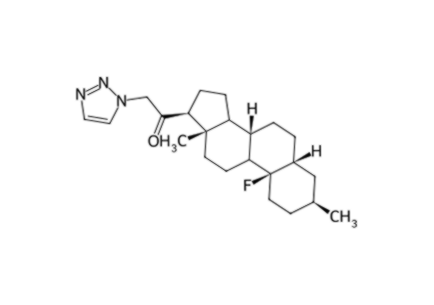 C[C@H]1CC[C@]2(F)C3CC[C@@]4(C)C(CC[C@@H]4C(=O)Cn4ccnn4)[C@@H]3CC[C@@H]2C1